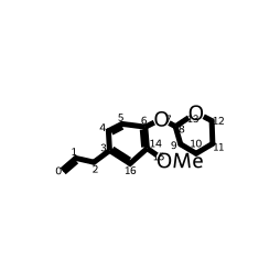 C=CCc1ccc(OC2CCCCO2)c(OC)c1